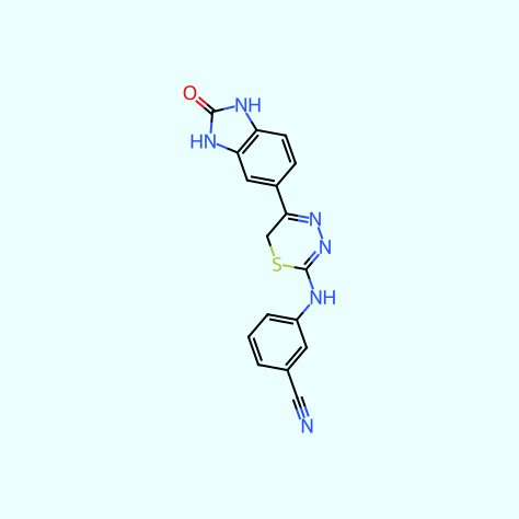 N#Cc1cccc(NC2=NN=C(c3ccc4[nH]c(=O)[nH]c4c3)CS2)c1